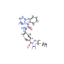 CCCC1CCN(C(=O)c2ccc(NC(=O)N(c3ccccc3)c3ncncn3)cc2)CC1